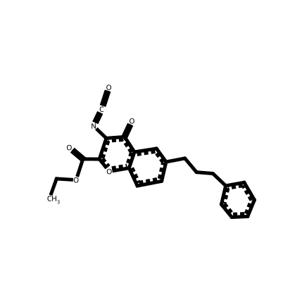 CCOC(=O)c1oc2ccc(CCCc3ccccc3)cc2c(=O)c1N=C=O